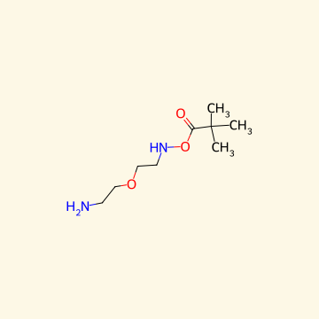 CC(C)(C)C(=O)ONCCOCCN